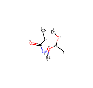 CCOC(C)OCC.N#CCC(N)=O